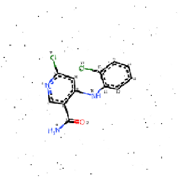 NC(=O)c1cnc(Cl)cc1Nc1ccccc1Cl